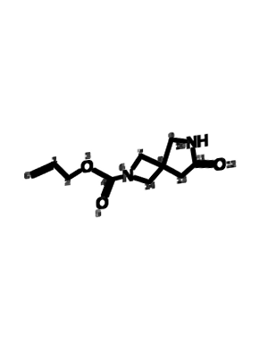 C=CCOC(=O)N1CC2(CNC(=O)C2)C1